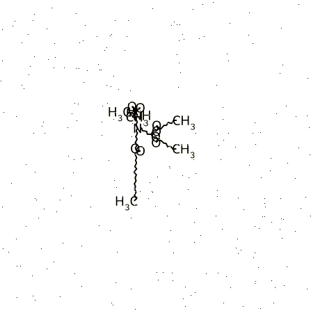 CCCCCCCCCCCCCCCCCC(=O)OCCCCCCN(CCCCC(COC(=O)CCCCCCC)COC(=O)CCCCCCC)CCCNc1c(N(C)C)c(=O)c1=O